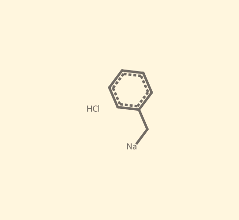 Cl.[Na][CH2]c1ccccc1